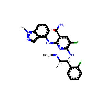 CCn1ncc2c(Nc3nc(N[C@H](c4ccccc4F)[C@H](C)NC(=O)O)c(F)cc3C(N)=O)cccc21